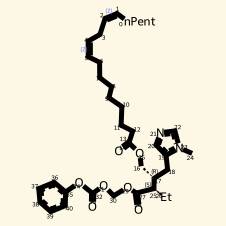 CCCCC/C=C\C/C=C\CCCCCCCC(=O)OC[C@H](Cc1cncn1C)[C@H](CC)C(=O)OCOC(=O)Oc1ccccc1